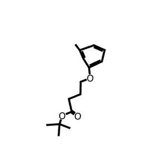 Cc1cccc(OCCCC(=O)OC(C)(C)C)c1